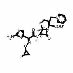 Nc1nc(C(=NOC2CC2F)C(=O)N[C@@H]2C(=O)N3C(C(=O)[O-])=C(C[n+]4ccccc4)CS[C@@H]23)cs1